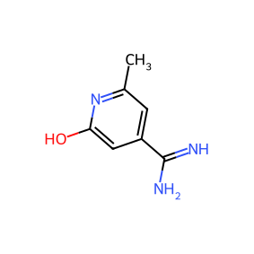 Cc1cc(C(=N)N)cc(O)n1